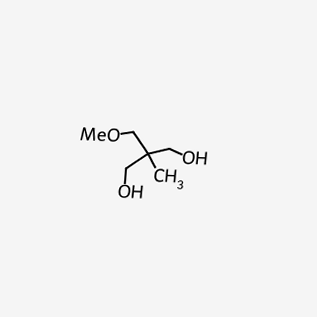 COCC(C)(CO)CO